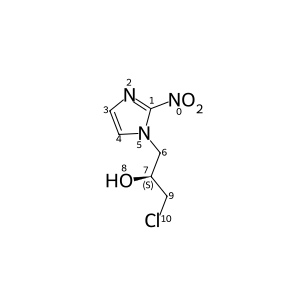 O=[N+]([O-])c1nccn1C[C@H](O)CCl